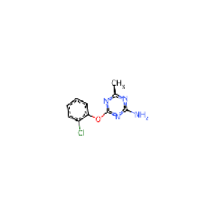 Cc1nc(N)nc(Oc2ccccc2Cl)n1